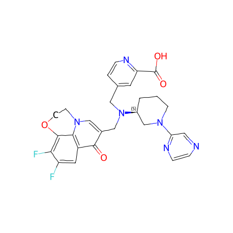 O=C(O)c1cc(CN(Cc2cn3c4c(c(F)c(F)cc4c2=O)OCC3)[C@H]2CCCN(c3cnccn3)C2)ccn1